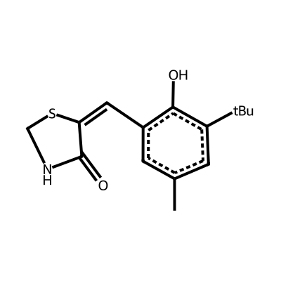 Cc1cc(C=C2SCNC2=O)c(O)c(C(C)(C)C)c1